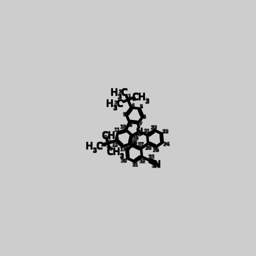 CC(C)(C)c1ccc2c(c1)c1cc(C(C)(C)C)ccc1n2-c1ccccc1-c1ccccc1C#N